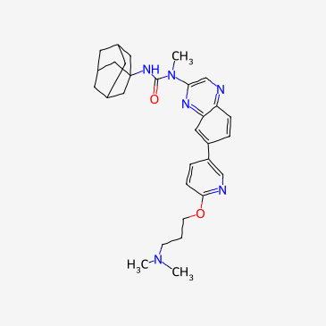 CN(C)CCCOc1ccc(-c2ccc3ncc(N(C)C(=O)NC45CC6CC(CC(C6)C4)C5)nc3c2)cn1